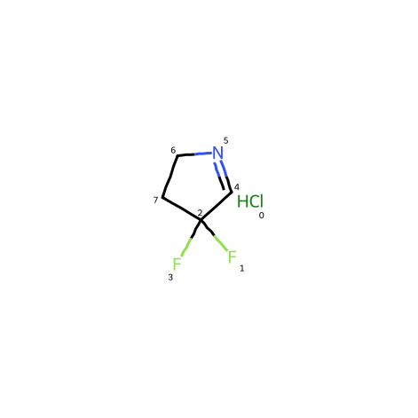 Cl.FC1(F)C=NCC1